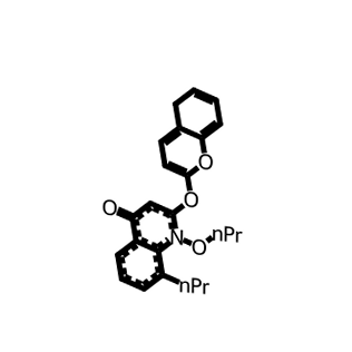 CCCOn1c(OC2=CC=C3CC=CC=C3O2)cc(=O)c2cccc(CCC)c21